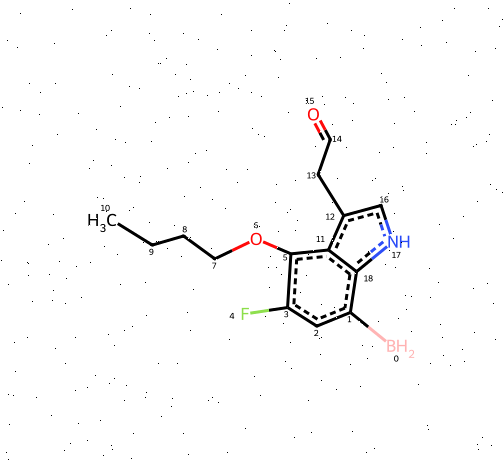 Bc1cc(F)c(OCCCC)c2c(CC=O)c[nH]c12